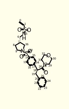 C=CS(=O)(=O)NC[C@H]1CCN(S(=O)(=O)c2ccc([C@H](Cc3ccccc3)C(=O)N3CCOCC3)cc2)C1